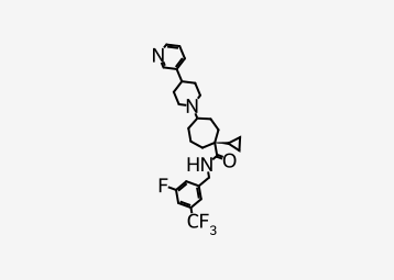 O=C(NCc1cc(F)cc(C(F)(F)F)c1)[C@]1(C2CC2)CCCC(N2CCC(c3cccnc3)CC2)CC1